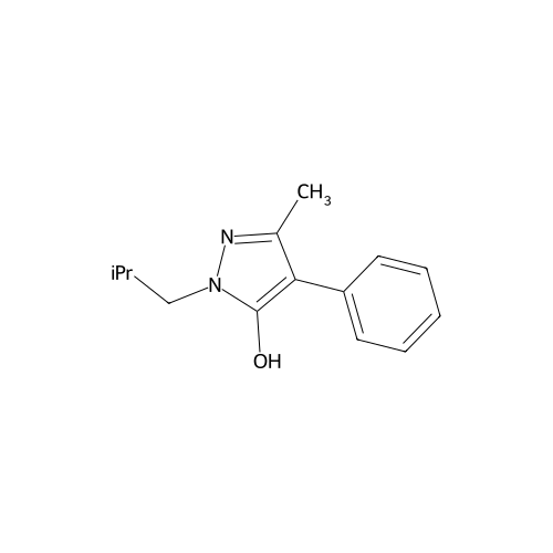 Cc1nn(CC(C)C)c(O)c1-c1ccccc1